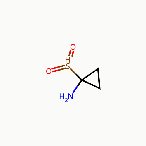 NC1([SH](=O)=O)CC1